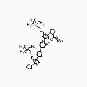 CC(C)(C)OC(=O)N1CCC[C@@H]1c1nc(-n2ccc(-c3ccc(-c4cnc(C5CCCC5)n4COCC[Si](C)(C)C)cc3)cc2=O)cn1COCC[Si](C)(C)C